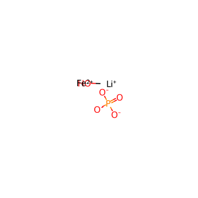 CO.O=P([O-])([O-])[O-].[Fe+2].[Li+]